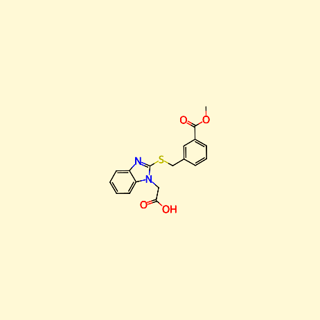 COC(=O)c1cccc(CSc2nc3ccccc3n2CC(=O)O)c1